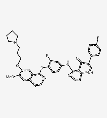 COc1cc2ncnc(Oc3ccc(Nc4nccc5[nH]cc(-c6ccc(F)cc6)c(=O)c45)cc3F)c2cc1OCCCN1CCCC1